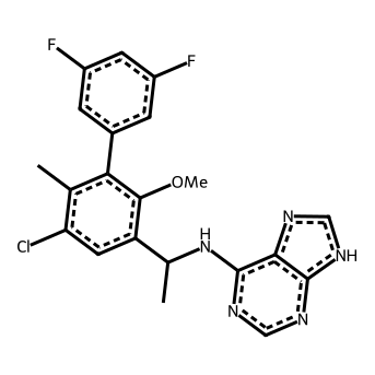 COc1c(C(C)Nc2ncnc3[nH]cnc23)cc(Cl)c(C)c1-c1cc(F)cc(F)c1